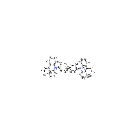 C1=Cc2c(cccc2N(C2=CC=C(c3ccc(N(c4ccccc4)C4CC=Cc5ccccc54)cc3)CC2)c2ccccc2)CC1